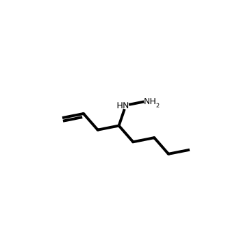 C=CCC(CCCC)NN